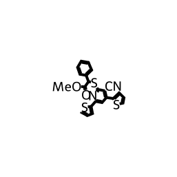 COC(=O)C(Sc1nc(-c2cccs2)cc(-c2cccs2)c1C#N)c1ccccc1